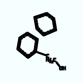 CO.Cc1ccccc1.c1ccccc1